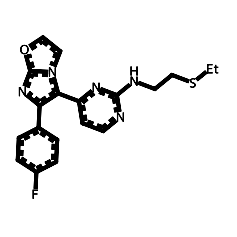 CCSCCNc1nccc(-c2c(-c3ccc(F)cc3)nc3occn23)n1